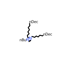 CCCCCCCCCCCCCCCCCC1N(CCCC)C=CN1CCCCCCCCCCCCCCCC